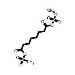 CC(C)(C)OS(=O)(=O)OC(=O)CCCCCCC(=O)OS(C)(=O)=O